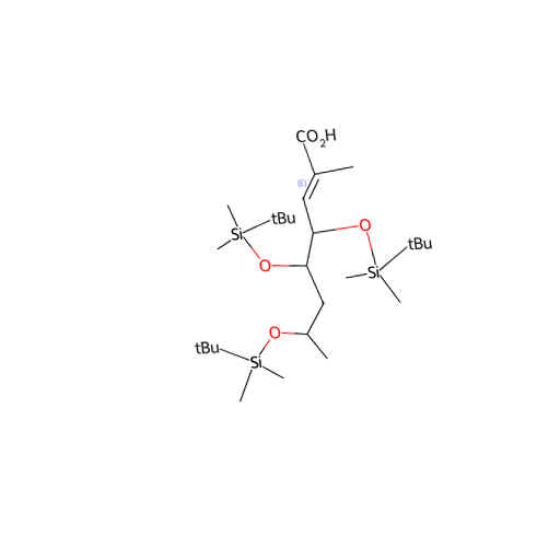 C/C(=C\C(O[Si](C)(C)C(C)(C)C)C(CC(C)O[Si](C)(C)C(C)(C)C)O[Si](C)(C)C(C)(C)C)C(=O)O